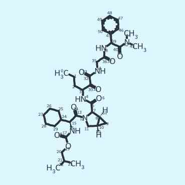 CCCC(NC(=O)C1[C@H]2C[C@@H]2CN1C(=O)[C@@H](NC(=O)OCC(C)C)C1CCCCC1)C(=O)C(=O)NCC(=O)NC(C(=O)N(C)C)c1ccccc1